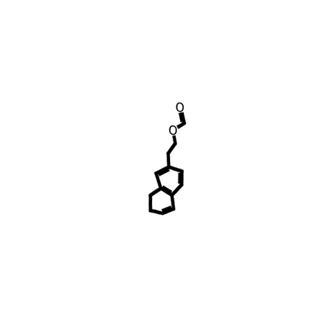 O=COCCc1ccc2c(c1)CCC=C2